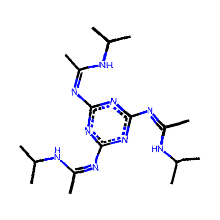 CC(=Nc1nc(N=C(C)NC(C)C)nc(N=C(C)NC(C)C)n1)NC(C)C